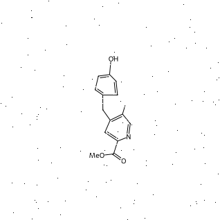 COC(=O)c1cc(Cc2ccc(O)cc2)c(C)cn1